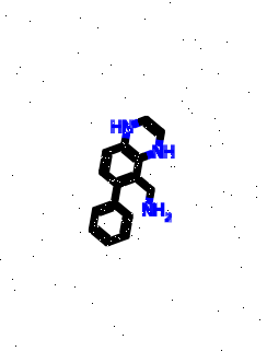 NCc1c(-c2ccccc2)ccc2c1NC=CN2